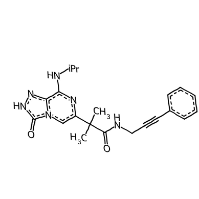 CC(C)Nc1nc(C(C)(C)C(=O)NCC#Cc2ccccc2)cn2c(=O)[nH]nc12